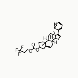 C[C@]12CC[C@H](OC(=O)OCCC(F)(F)F)CC1=CC[C@@H]1[C@@H]2CC[C@]2(C)C(c3cccnc3)=CC[C@@H]12